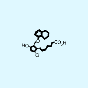 O=C(O)CCC/C=C\C[C@@H]1[C@@H](COc2cccc3c2CCCC3)[C@H](O)C[C@H]1Cl